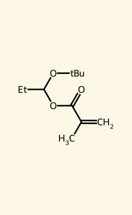 C=C(C)C(=O)OC(CC)OC(C)(C)C